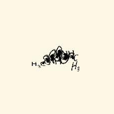 CCOC(=O)NC(=O)OC(=O)NC(=O)OCC